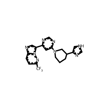 FC(F)(F)c1ccc2ncc(-c3cc(N4CCCC(c5c[nH]cn5)C4)ncn3)n2n1